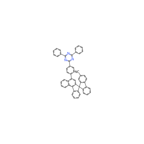 N#Cc1ccc2c(c1)C1(c3ccccc3-2)c2ccccc2-c2c1cc(-c1ccc(-c3nc(-c4ccccc4)nc(-c4ccccc4)n3)cc1)c1ccccc21